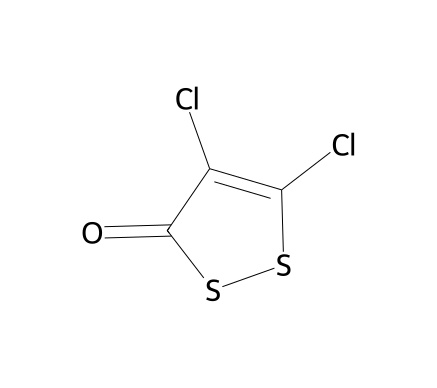 O=c1ssc(Cl)c1Cl